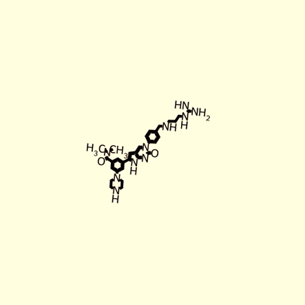 CN(C)C(=O)c1cc(-c2cc3cn(-c4ccc(CNCCCNC(=N)N)cc4)c(=O)nc3[nH]2)cc(N2CCNCC2)c1